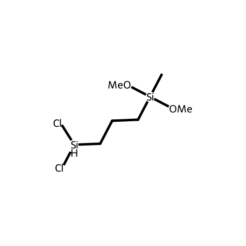 CO[Si](C)(CCC[SiH](Cl)Cl)OC